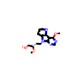 COc1ncnc2c1c1ncccc1n2CC[C@@H](CO)OC